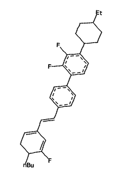 CCCCC1CC=C(/C=C/c2ccc(-c3ccc(C4CCC(CC)CC4)c(F)c3F)cc2)C=C1F